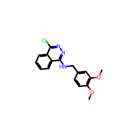 COc1ccc(CNc2nnc(Cl)c3ccccc23)cc1OC